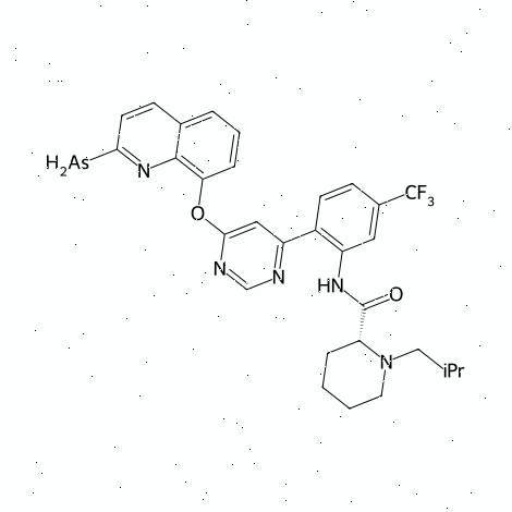 CC(C)CN1CCCC[C@@H]1C(=O)Nc1cc(C(F)(F)F)ccc1-c1cc(Oc2cccc3ccc([AsH2])nc23)ncn1